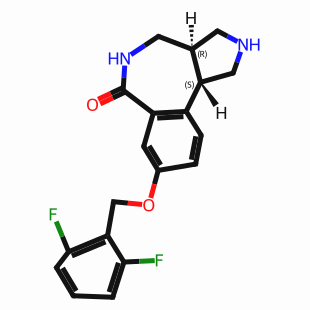 O=C1NC[C@H]2CNC[C@@H]2c2ccc(OCc3c(F)cccc3F)cc21